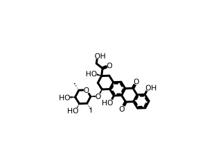 C[C@@H]1O[C@@H](O[C@H]2C[C@](O)(C(=O)CO)Cc3cc4c(c(O)c32)C(=O)c2cccc(O)c2C4=O)[C@H](I)[C@H](O)[C@H]1O